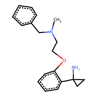 CN(CCOc1ccccc1C1(N)CC1)Cc1ccccc1